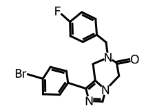 O=C1Cn2cnc(-c3ccc(Br)cc3)c2CN1Cc1ccc(F)cc1